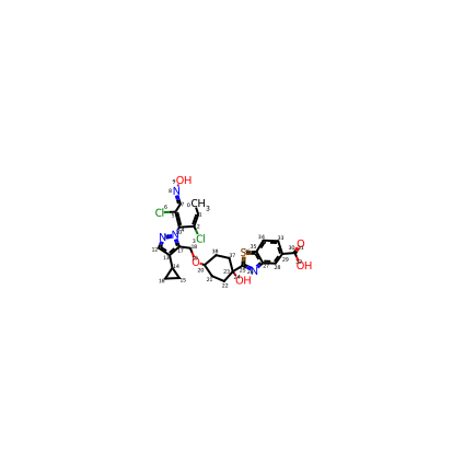 C\C=C(Cl)/C(=C(Cl)\C=N\O)n1ncc(C2CC2)c1COC1CCC(O)(c2nc3cc(C(=O)O)ccc3s2)CC1